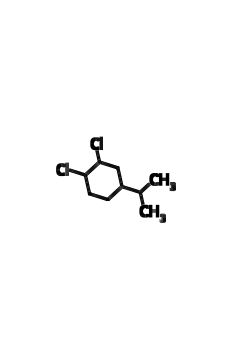 CC(C)C1CCC(Cl)C(Cl)C1